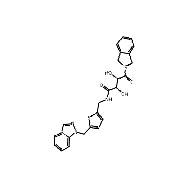 O=C(NCc1ccc(Cn2ncc3ccccc32)s1)[C@H](O)[C@@H](O)C(=O)N1Cc2ccccc2C1